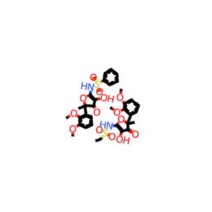 CCS(=O)(=O)NC1=C(O)C(=O)C(C)(c2cccc(OC)c2OC)O1.COc1cccc(C2(C)OC(NS(=O)(=O)c3ccccc3)=C(O)C2=O)c1OC